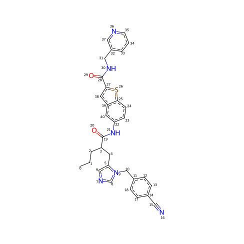 CCCC(Cc1cncn1Cc1ccc(C#N)cc1)C(=O)Nc1ccc2sc(C(=O)NCc3cccnc3)cc2c1